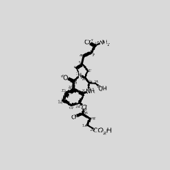 NC(=O)C=CC1=CN2C(=O)c3cccc(OC(=O)CCC(=O)O)c3NC(CO)C2C1